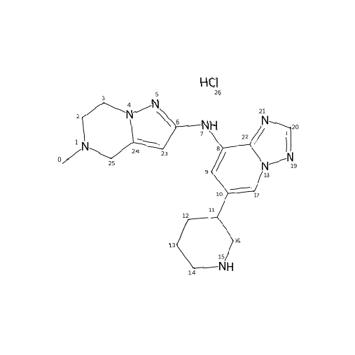 CN1CCn2nc(Nc3cc(C4CCCNC4)cn4ncnc34)cc2C1.Cl